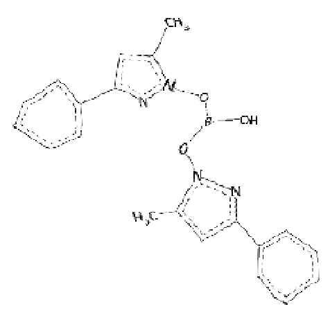 Cc1cc(-c2ccccc2)nn1OB(O)On1nc(-c2ccccc2)cc1C